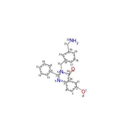 COc1ccc2nc(-c3ccccc3)n(Cc3cccc(CN)c3)c(=O)c2c1